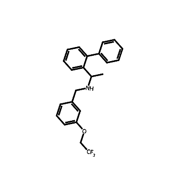 CC(NCc1cccc(OCC(F)(F)F)c1)c1ccccc1-c1ccccc1